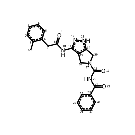 Cc1ccccc1CC(=O)Nc1n[nH]c2c1CN(C(=O)NC(=O)c1ccccc1)C2